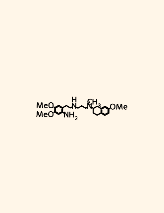 COc1ccc2c(c1)CC(N(C)CCCNCCc1cc(OC)c(OC)cc1N)CC2